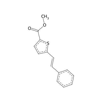 COC(=O)c1ccc(C=Cc2ccccc2)s1